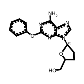 Nc1nc(Oc2ccccc2)nc2c1ncn2[C@H]1CCC(CO)O1